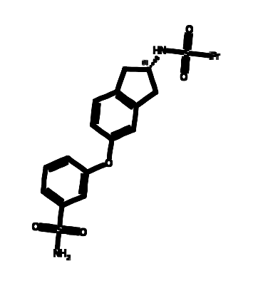 CC(C)S(=O)(=O)N[C@H]1Cc2ccc(Oc3cccc(S(N)(=O)=O)c3)cc2C1